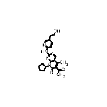 CC(=O)c1c(C)c2cnc(Nc3ccc(CCO)cn3)nc2n(C2CCCC2)c1=O